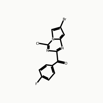 O=C(c1ccc(F)cc1)c1nc(Cl)n2cc(Br)cc2n1